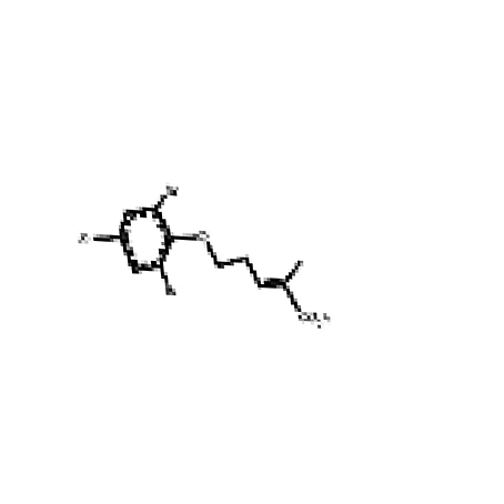 C/C(=C\CCOc1c(Br)cc(Br)cc1Br)C(=O)O